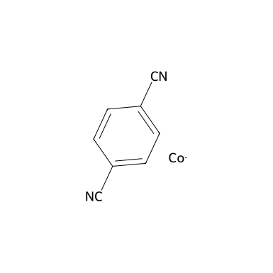 N#Cc1ccc(C#N)cc1.[Co]